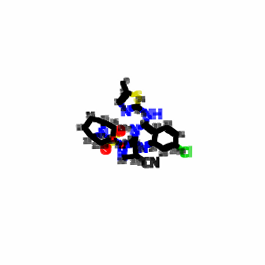 Cc1cnc(Nc2nc(NC3CC4CCC(C3)N4S(=O)(=O)N3CC(C#N)C3)nc3cc(Cl)ccc23)s1